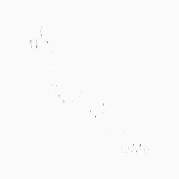 COc1ccc(C(=O)N2CCC3(CCN(c4ccc(-c5cn[nH]c5)cc4)C3=O)C2)cc1